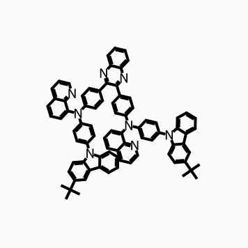 CC(C)(C)c1ccc2c(c1)c1ccccc1n2-c1ccc(N(c2ccc(-c3nc4ccccc4nc3-c3ccc(N(c4ccc(-n5c6ccccc6c6cc(C(C)(C)C)ccc65)cc4)c4cccc5cccnc45)cc3)cc2)c2cccc3cccnc23)cc1